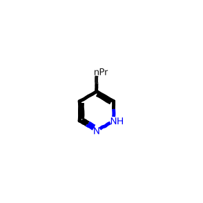 CCCC1=CNN=C=C1